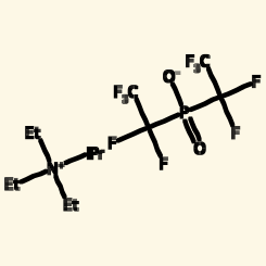 CC[N+](CC)(CC)C(C)C.O=P([O-])(C(F)(F)C(F)(F)F)C(F)(F)C(F)(F)F